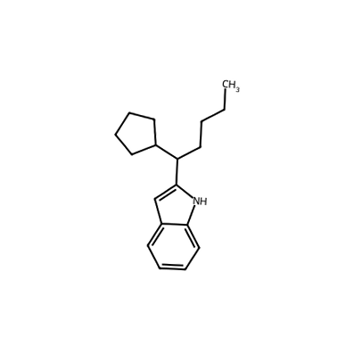 CCCCC(c1cc2ccccc2[nH]1)C1CCCC1